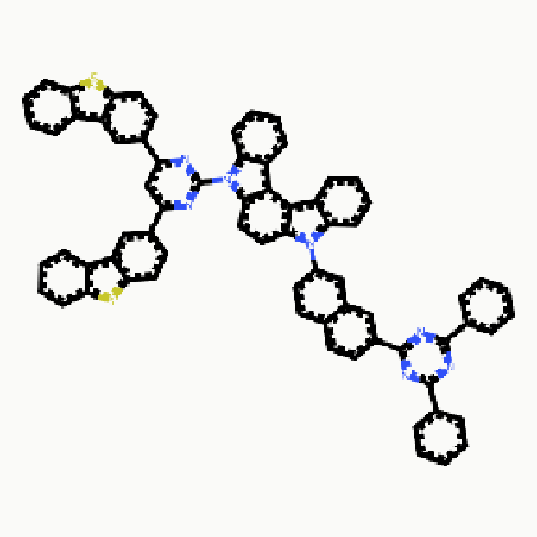 c1ccc(-c2nc(-c3ccccc3)nc(-c3ccc4ccc(-n5c6ccccc6c6c7c8ccccc8n(-c8nc(-c9ccc%10sc%11ccccc%11c%10c9)cc(-c9ccc%10sc%11ccccc%11c%10c9)n8)c7ccc65)cc4c3)n2)cc1